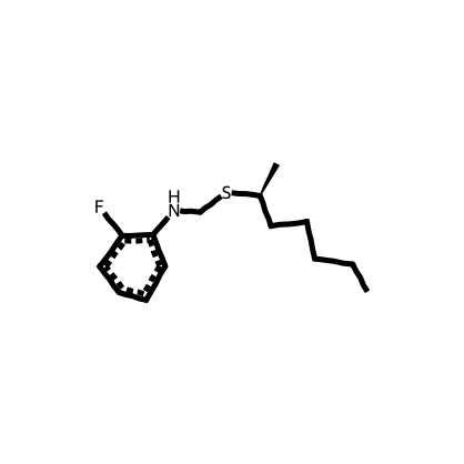 CCCCC[C@H](C)SCNc1ccccc1F